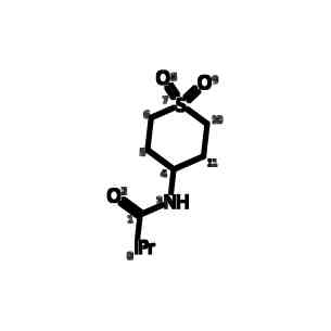 CC(C)C(=O)NC1CCS(=O)(=O)CC1